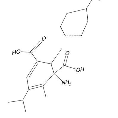 CC1=C(C(C)C)C=C(C(=O)O)C(C)C1(N)C(=O)O.NC1CCCCC1